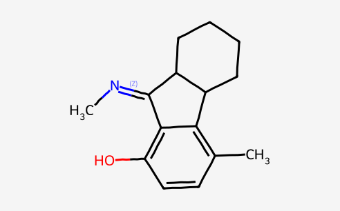 C/N=C1\c2c(O)ccc(C)c2C2CCCCC12